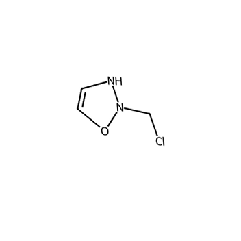 ClCN1NC=CO1